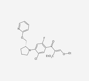 CCO/C=C(\C(=O)OCC)C(=O)c1cc(Cl)c(N2CCC[C@@H]2COc2ccccn2)cc1F